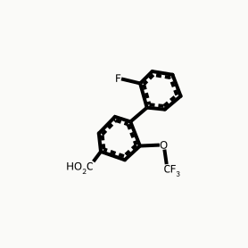 O=C(O)c1ccc(-c2ccccc2F)c(OC(F)(F)F)c1